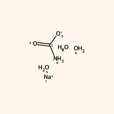 NC(=O)[O-].O.O.O.[Na+]